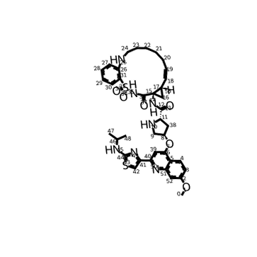 COc1ccc2c(O[C@H]3CN[C@H](C(=O)N[C@]45C[C@H]4/C=C\CCCCCNc4ccccc4S(=O)(=O)NC5=O)C3)cc(-c3csc(NC(C)C)n3)nc2c1